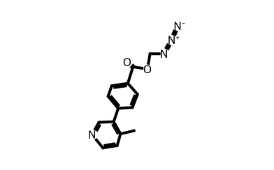 Cc1ccncc1-c1ccc(C(=O)OCN=[N+]=[N-])cc1